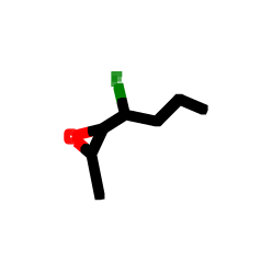 CCCC(F)C1OC1C